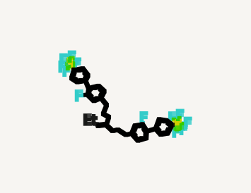 CCC=C(CCCc1ccc(-c2ccc(S(F)(F)(F)(F)F)cc2)c(F)c1)CCCc1ccc(-c2ccc(S(F)(F)(F)(F)F)cc2)c(F)c1